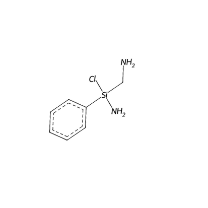 NC[Si](N)(Cl)c1ccccc1